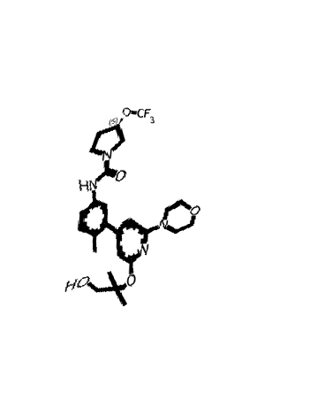 Cc1ccc(NC(=O)N2CC[C@H](OC(F)(F)F)C2)cc1-c1cc(OC(C)(C)CO)nc(N2CCOCC2)c1